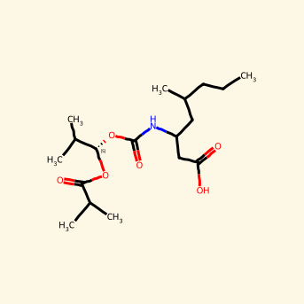 CCCC(C)CC(CC(=O)O)NC(=O)O[C@H](OC(=O)C(C)C)C(C)C